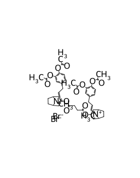 CC(=O)Oc1ccc(CC=C[N+]2(C)C3CCC2CC(OC(=O)CCC(=O)OC2CC4CCC(C2)[N+]4(C)C=CCc2ccc(OC(C)=O)c(OC(C)=O)c2)C3)cc1OC(C)=O.[Br-].[Br-]